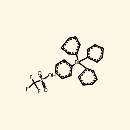 O=S(=O)(O)C(F)(F)F.c1cc[c]([Bi]([c]2ccccc2)([c]2ccccc2)[c]2ccccc2)cc1